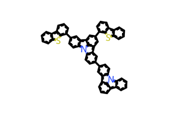 c1ccc2c(c1)sc1c(-c3ccc4c(c3)c3cc(-c5cccc6c5sc5ccccc56)cc5c6cc(-c7ccc8c(c7)c7cccc9c%10ccccc%10n8c97)ccc6n4c53)cccc12